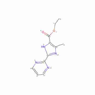 CCOC(=O)c1[nH]c(-c2ncccn2)nc1C